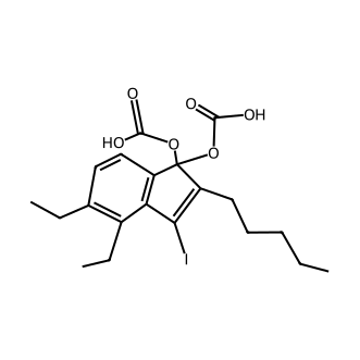 CCCCCC1=C(I)c2c(ccc(CC)c2CC)C1(OC(=O)O)OC(=O)O